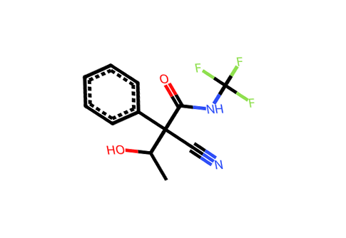 CC(O)C(C#N)(C(=O)NC(F)(F)F)c1ccccc1